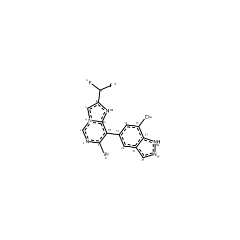 CC(C)c1ncn2cc(C(F)F)nc2c1-c1cc(Cl)c2[nH]ncc2c1